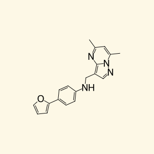 Cc1cc(C)n2ncc(CNc3ccc(-c4ccco4)cc3)c2n1